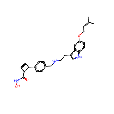 CC(C)=CCOc1ccc2[nH]cc(CCNCc3ccc(C4C#CC4C(=O)NO)cc3)c2c1